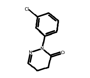 O=C1CCC=NN1c1cccc(Cl)c1